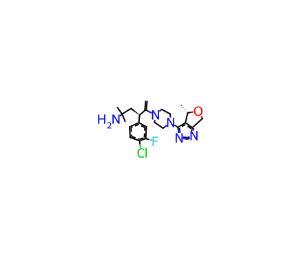 C=C([C@H](CC(C)(C)N)c1ccc(Cl)c(F)c1)N1CCN(c2ncnc3c2[C@H](C)OC3)CC1